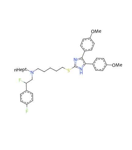 CCCCCCCN(CCCCCSc1nc(-c2ccc(OC)cc2)c(-c2ccc(OC)cc2)[nH]1)CC(F)c1ccc(F)cc1